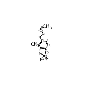 CSCCc1ccc(OC(F)(F)F)cc1Cl